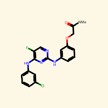 CNC(=O)COc1cccc(Nc2ncc(F)c(Nc3cccc(Cl)c3)n2)c1